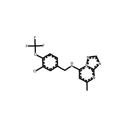 Cc1cc(NCc2ccc(OC(F)(F)F)c(Cl)c2)n2ncnc2n1